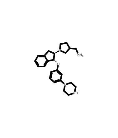 NCC1CCN([C@@H]2Cc3ccccc3[C@H]2Oc2cccc(N3CCNCC3)c2)C1